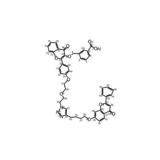 O=C(O)c1cccc(COc2c(-c3ccc(OCCOCCn4cc(CCCCOc5ccc6c(=O)cc(-c7ccccc7)oc6c5)nn4)cc3)oc3ccccc3c2=O)c1